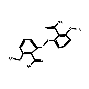 COc1cccc(SSc2cccc(OC)c2C(N)=O)c1C(N)=O